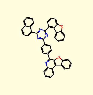 c1ccc2c(-c3nc(-c4ccc(-c5nc6ccccc6c6c5oc5ccccc56)cc4)nc(-c4cccc5oc6ccccc6c45)n3)cccc2c1